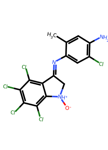 Cc1cc(N)c(Cl)cc1N=C1C[NH+]([O-])c2c(Cl)c(Cl)c(Cl)c(Cl)c21